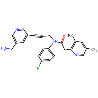 NCc1cncc(C#CCN(C(=O)Cc2ncc(C(F)(F)F)cc2C(F)(F)F)c2ccc(F)cc2)c1